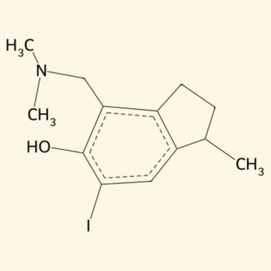 CC1CCc2c1cc(I)c(O)c2CN(C)C